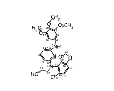 COc1cc(Nc2nccc(N(CCO)c3c(Cl)ccc4c3OCO4)n2)cc(OC)c1OC